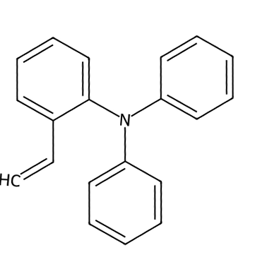 [CH]=Cc1ccccc1N(c1ccccc1)c1ccccc1